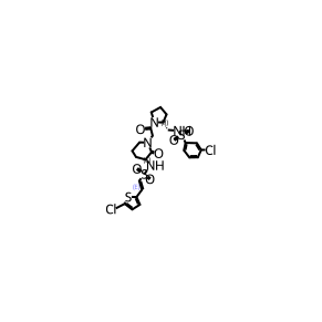 O=C1[C@@H](NS(=O)(=O)/C=C/c2ccc(Cl)s2)CCCN1CC(=O)N1CCC[C@@H]1CNS(=O)(=O)c1cccc(Cl)c1